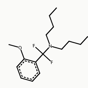 CCCCN(CCCC)C(F)(F)c1ccccc1OC